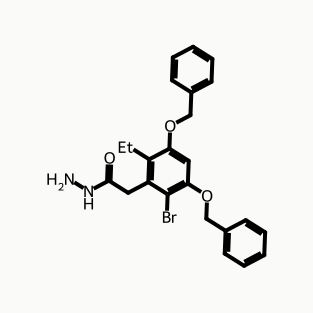 CCc1c(OCc2ccccc2)cc(OCc2ccccc2)c(Br)c1CC(=O)NN